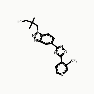 CC(C)(CO)Cn1nnc2cc(-c3noc(-c4ccncc4C(F)(F)F)n3)ccc21